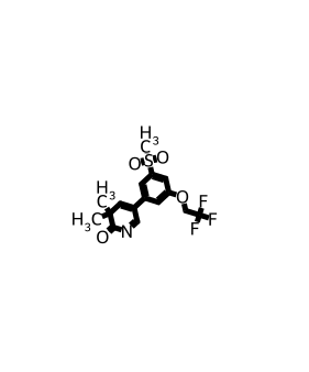 CC1(C)C=C(c2cc(OCC(F)(F)F)cc(S(C)(=O)=O)c2)C=NC1=O